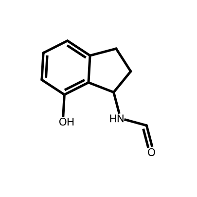 O=CNC1CCc2cccc(O)c21